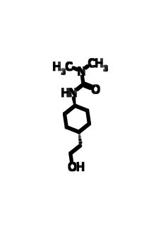 CN(C)C(=O)N[C@H]1CC[C@H](CCO)CC1